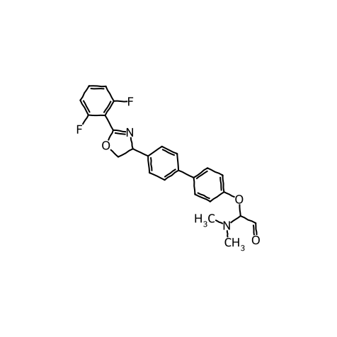 CN(C)C(C=O)Oc1ccc(-c2ccc(C3COC(c4c(F)cccc4F)=N3)cc2)cc1